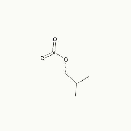 CC(C)C[O][V](=[O])=[O]